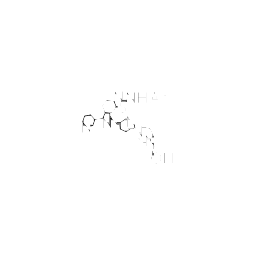 CC(=O)Nc1nc2c(s1)-c1c(c(-c3cccnc3)nn1-c1ccc(N3CCCN(CCO)CC3)nc1)CC2